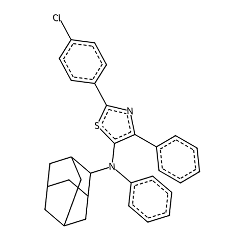 Clc1ccc(-c2nc(-c3ccccc3)c(N(c3ccccc3)C3C4CC5CC(C4)CC3C5)s2)cc1